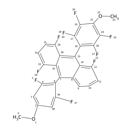 COc1cc(F)c(-c2c3cccc(F)c3c(-c3c(F)c(F)c(OC)c(F)c3F)c3c(F)ccc(F)c23)c(F)c1